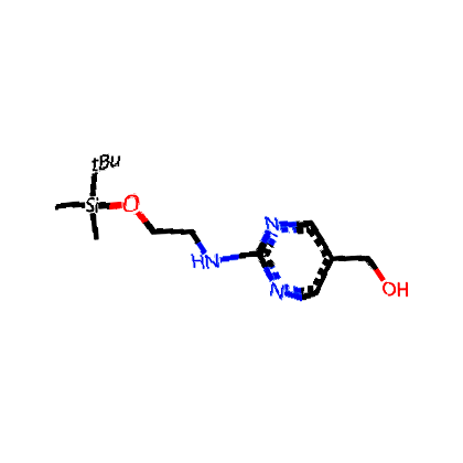 CC(C)(C)[Si](C)(C)OCCNc1ncc(CO)cn1